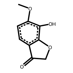 COc1ccc2c(c1O)OCC2=O